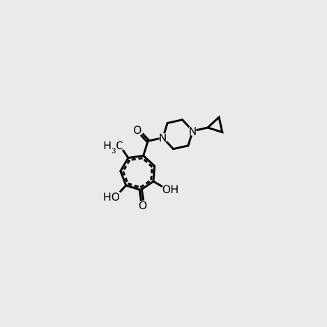 Cc1cc(O)c(=O)c(O)cc1C(=O)N1CCN(C2CC2)CC1